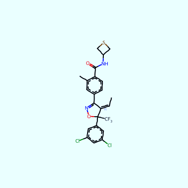 C/C=C1\C(c2ccc(C(=O)NC3CSC3)c(C)c2)=NOC1(c1cc(Cl)cc(Cl)c1)C(F)(F)F